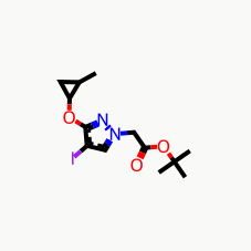 CC1CC1Oc1nn(CC(=O)OC(C)(C)C)cc1I